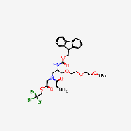 BCC(=O)N(CC(=O)OCC(Br)(Br)Br)C[C@H](COCCOCCOC(C)(C)C)NC(=O)OCC1c2ccccc2-c2ccccc21